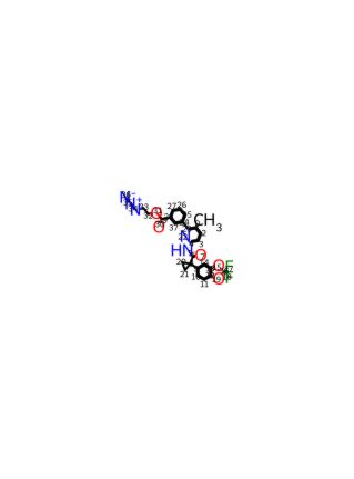 Cc1ccc(NC(=O)C2(c3ccc4c(c3)OC(F)(F)O4)CC2)nc1-c1cccc(C(=O)OCCN=[N+]=[N-])c1